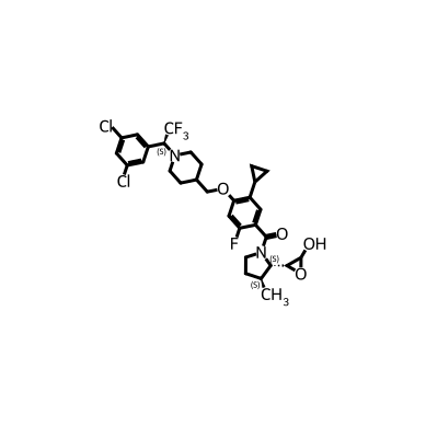 C[C@H]1CCN(C(=O)c2cc(C3CC3)c(OCC3CCN([C@@H](c4cc(Cl)cc(Cl)c4)C(F)(F)F)CC3)cc2F)[C@@H]1C1OC1O